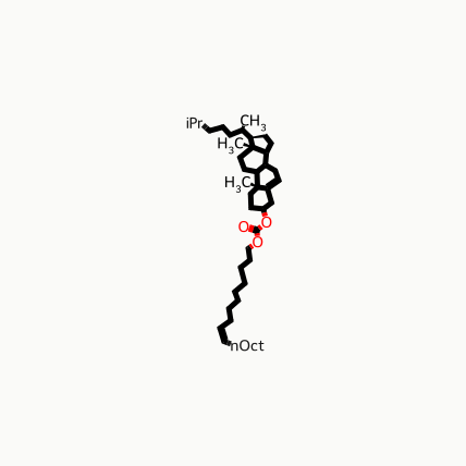 CCCCCCCC/C=C\CCCCCCCCOC(=O)OC1CC[C@@]2(C)C(=CCC3C2CC[C@@]2(C)C3CC[C@@H]2[C@H](C)CCCC(C)C)C1